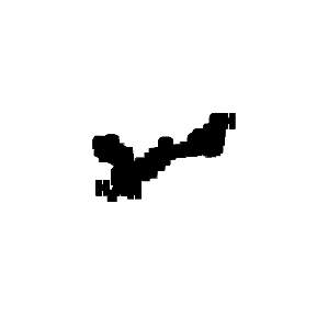 C[C@@H]1C[C@@H](O)CN1C(=O)[C@@H](NC(=O)CCCCCC(=O)N1CCC(c2ccc(Nc3nc(N4CCC[C@@H](N5CCN(C)C5=O)C4)cnc3C(N)=O)cc2)CC1)C(C)(C)C